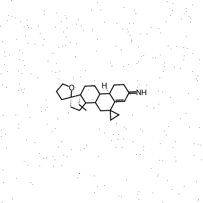 CC[C@]12CCC3C(CC4(CC4)C4=CC(=N)CC[C@@H]43)C1CC[C@@]21CCCO1